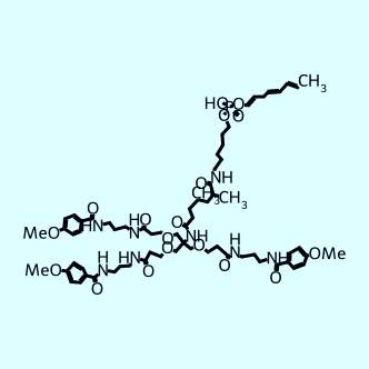 CC=CC=CC/C=C/OP(=O)(O)OCCCCCCNC(=O)C(C)CC(C)CCC(=O)NC(COCCC(=O)NCCCNC(=O)c1ccc(OC)cc1)(COCCC(=O)NCCCNC(=O)c1ccc(OC)cc1)COCCC(=O)NCCCNC(=O)c1ccc(OC)cc1